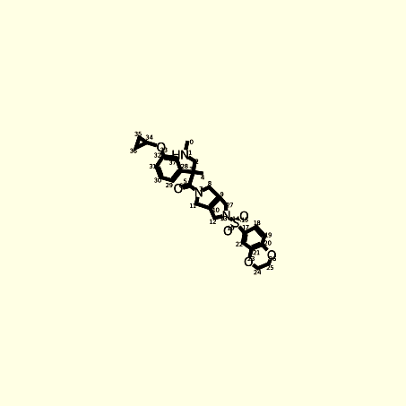 CNCC(C)(C(=O)N1CC2=C(C1)CN(S(=O)(=O)c1ccc3c(c1)OCCO3)C2)c1cccc(OC2CC2)c1